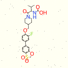 CC(C)C(NC(=O)O)C(=O)N1CCC(COc2ccc(-c3ccc4c(c3)OCS4(=O)=O)cc2F)CC1